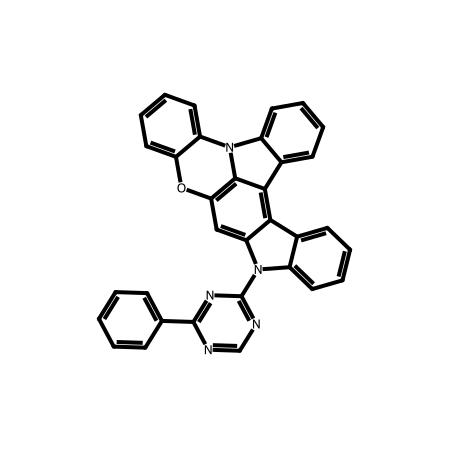 c1ccc(-c2ncnc(-n3c4ccccc4c4c5c6ccccc6n6c5c(cc43)Oc3ccccc3-6)n2)cc1